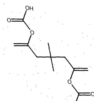 C=C(CC(C)(C)CC(=C)OC(=O)O)OC(=O)O